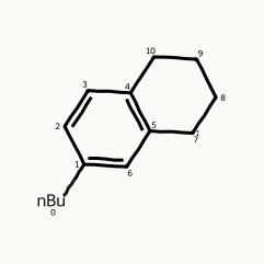 CCCCc1ccc2c(c1)[C]CCC2